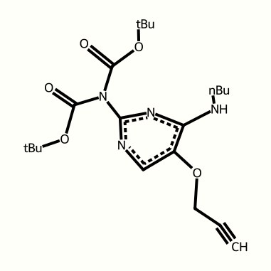 C#CCOc1cnc(N(C(=O)OC(C)(C)C)C(=O)OC(C)(C)C)nc1NCCCC